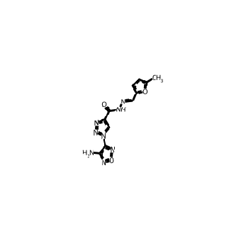 Cc1ccc(/C=N/NC(=O)c2cn(-c3nonc3N)nn2)o1